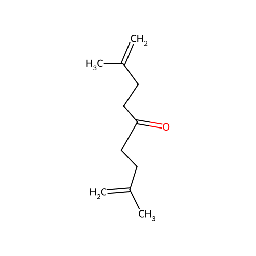 C=C(C)CCC(=O)CCC(=C)C